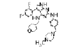 CN1CCN(Cc2ccc(Nc3nc(NCC4CCOCC4)c4c(-c5ccc(F)cc5F)c[nH]c4n3)cc2)CC1